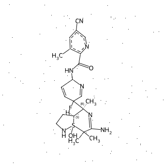 Cc1cc(C#N)cnc1C(=O)NC1C=CC(F)([C@@]2(C)N=C(N)C(C)(C)S3(O)NCC[C@@H]23)C=N1